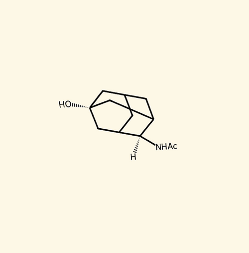 CC(=O)N[C@H]1C2CC3CC1C[C@](O)(C3)C2